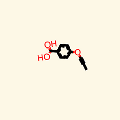 CC#COc1ccc(C(O)O)cc1